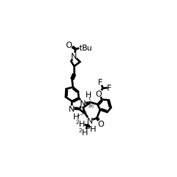 [2H]C([2H])([2H])N1C(=O)c2cccc(OC(F)F)c2[C@H]2C[C@@H]1c1nc3ccc(C#CC4CN(C(=O)C(C)(C)C)C4)cc3n12